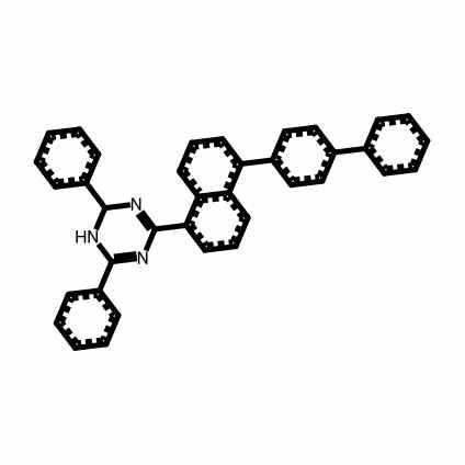 c1ccc(C2=NC(c3cccc4c(-c5ccc(-c6ccccc6)cc5)cccc34)=NC(c3ccccc3)N2)cc1